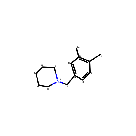 Cc1ccc(CN2CC[CH]CC2)cc1C